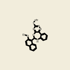 CCCSc1nnc2c(n1)OC(c1c(OCC)ccc3ccccc13)Nc1ccccc1-2